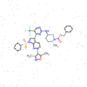 Cc1noc(C)c1-c1ccc2c(-c3nc(N[C@@H]4CC[C@@H](C)N(C(=O)OCc5ccccc5)C4)ncc3C(F)(F)F)cn(S(=O)(=O)c3ccccc3)c2n1